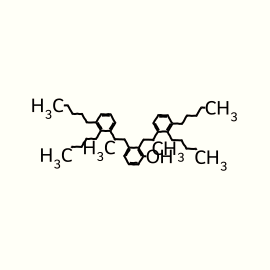 CCCCCc1cccc(C(C)Cc2cccc(O)c2CC(C)c2cccc(CCCCC)c2CCCCC)c1CCCCC